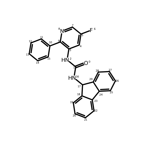 O=C(Nc1cc(F)cnc1-c1ccccc1)NC1c2ccccc2-c2ccccc21